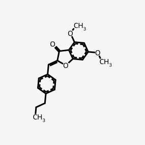 CCCc1ccc(/C=C2\Oc3cc(OC)cc(OC)c3C2=O)cc1